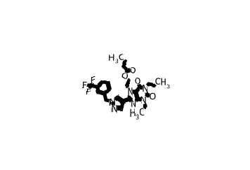 CCCC(=O)OCCn1c(-c2cnn(Cc3cccc(C(F)(F)F)c3)c2)nc2c1c(=O)n(CCC)c(=O)n2CC